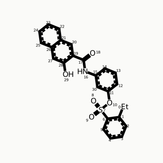 CCc1ccccc1S(=O)(=O)Oc1cccc(NC(=O)c2cc3ccccc3cc2O)c1